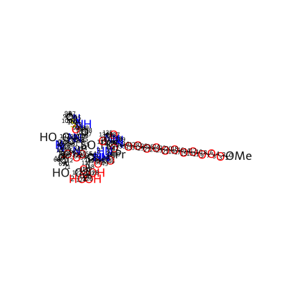 COCCOCCOCCOCCOCCOCCOCCOCCOCCOCCOCCOCCn1cc([C@@H](CC(=O)N[C@H](C(=O)N[C@@H](C)C(=O)Nc2ccc(COC(=O)N(CCOC34CC5(C)CC(C)(CC(Cn6ncc(-c7ccc(N8CCc9cccc(C(=O)Nc%10nc%11ccccc%11s%10)c9C8)nc7C(=O)O)c6C)(C5)C3)C4)CCS(=O)(=O)O)c(CC[C@@H]3O[C@H](C(=O)O)[C@H](O)[C@@H](O)[C@H]3O)c2)C(C)C)N2C(=O)C=CC2=O)nn1